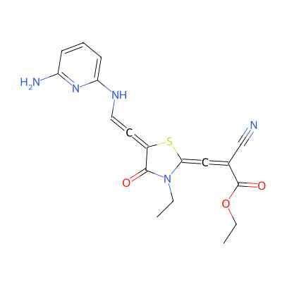 CCOC(=O)C(=C=c1sc(=C=CNc2cccc(N)n2)c(=O)n1CC)C#N